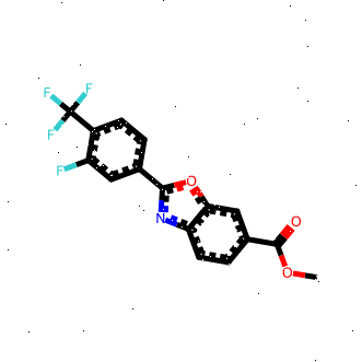 COC(=O)c1ccc2nc(-c3ccc(C(F)(F)F)c(F)c3)oc2c1